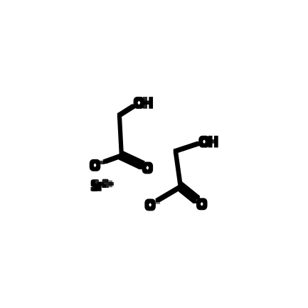 O=C([O-])CO.O=C([O-])CO.[Sr+2]